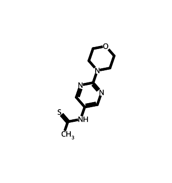 CC(=S)Nc1cnc(N2CCOCC2)nc1